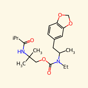 CCN(C(=O)OCC(C)(C)NC(=O)C(C)C)C(C)Cc1ccc2c(c1)OCO2